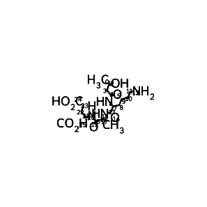 CC(O)CC(=O)NC(CCCCN)C(=O)NC(C)C(=O)NC(CCC(=O)O)C(=O)O